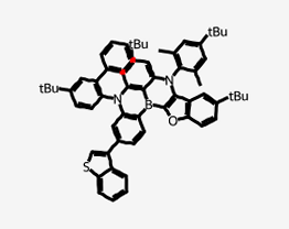 Cc1cc(C(C)(C)C)cc(C)c1N1c2cc(C(C)(C)C)cc3c2B(c2ccc(-c4csc5ccccc45)cc2N3c2ccc(C(C)(C)C)cc2-c2ccccc2)c2oc3ccc(C(C)(C)C)cc3c21